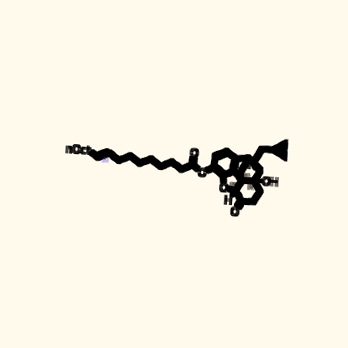 CCCCCCCC/C=C/CCCCCCCC(=O)Oc1ccc2c3c1O[C@H]1C(=O)CC[C@@]4(O)C(C2)N(CC2CC2)CC[C@]314